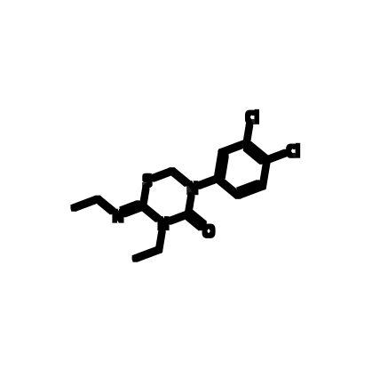 CCN=C1SCN(c2ccc(Cl)c(Cl)c2)C(=O)N1CC